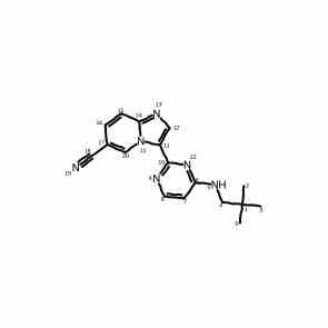 CC(C)(C)CNc1ccnc(-c2cnc3ccc(C#N)cn23)n1